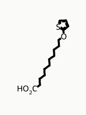 O=C(O)CCCCCCCCCCOc1cccs1